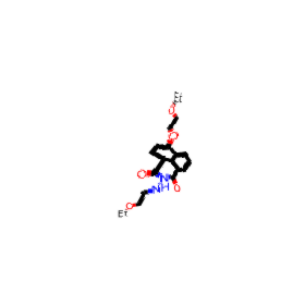 CCOCCNN1C(=O)c2cccc3c(OCCOCC)ccc(c23)C1=O